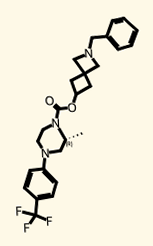 C[C@@H]1CN(c2ccc(C(F)(F)F)cc2)CCN1C(=O)OC1CC2(C1)CN(Cc1ccccc1)C2